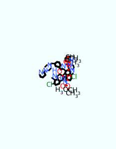 CC(C)(C)OC(=O)n1c(-c2ccc(Cl)c3c2C(C(=O)C2NCc4c(Cl)ccc(-c5cc6cc(CN7CCN(c8ccccn8)CC7)ccc6n5C(=O)OC(C)(C)C)c42)NC3)cc2cc(CN3CCN(c4ccccn4)CC3)ccc21